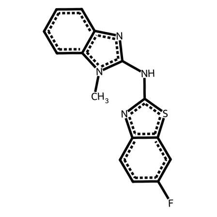 Cn1c(Nc2nc3ccc(F)cc3s2)nc2ccccc21